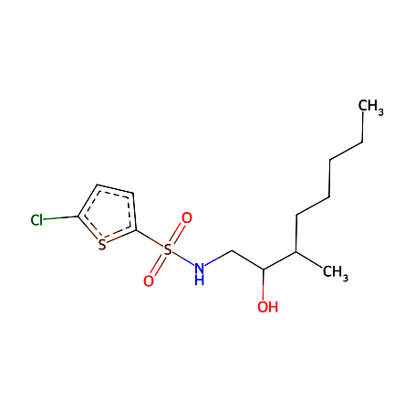 CCCCCC(C)C(O)CNS(=O)(=O)c1ccc(Cl)s1